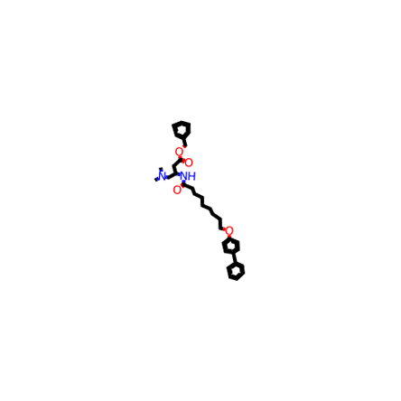 CN(C)CC(CC(=O)OCc1ccccc1)NC(=O)CCCCCCCCOc1ccc(-c2ccccc2)cc1